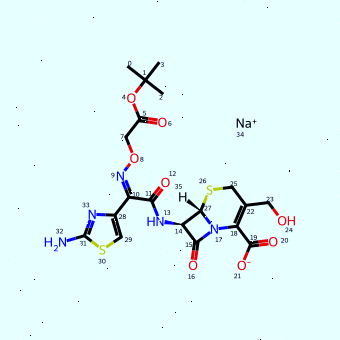 CC(C)(C)OC(=O)CO/N=C(\C(=O)N[C@@H]1C(=O)N2C(C(=O)[O-])=C(CO)CS[C@@H]12)c1csc(N)n1.[Na+]